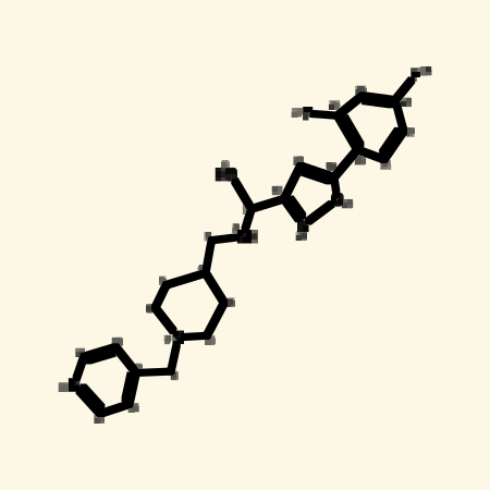 OC(NCC1CCN(Cc2ccncc2)CC1)c1cc(-c2ccc(F)cc2F)on1